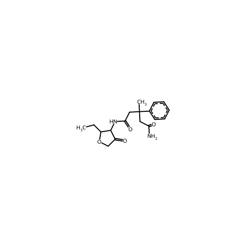 CCC1OCC(=O)C1NC(=O)CC(C)(CC(N)=O)c1ccccc1